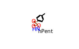 CCCCCNOS(=O)(=O)c1ccc(C)cc1